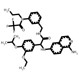 CCCN(C(=O)C(F)(F)F)c1cccc(CNC(=O)C(Nc2ccc3c(N)nccc3c2)c2ccc(OC(C)C)c(OCC)c2)c1